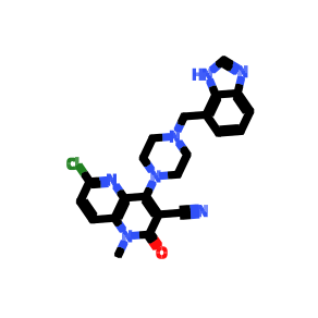 Cn1c(=O)c(C#N)c(N2CCN(Cc3cccc4nc[nH]c34)CC2)c2nc(Cl)ccc21